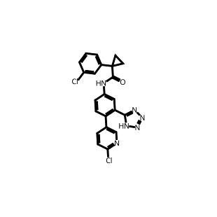 O=C(Nc1ccc(-c2ccc(Cl)nc2)c(-c2nnn[nH]2)c1)C1(c2cccc(Cl)c2)CC1